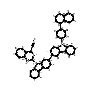 N#Cc1nc(-n2c3ccccc3c3ccc(-c4ccc5c(c4)c4ccccc4n5-c4ccc(-c5cccc6ccccc56)cc4)cc32)nc2ccccc12